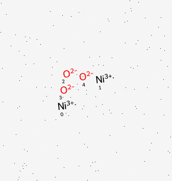 [Ni+3].[Ni+3].[O-2].[O-2].[O-2]